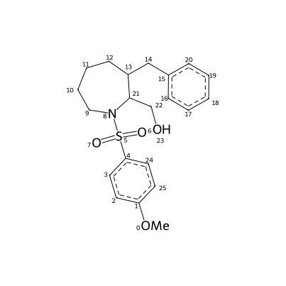 COc1ccc(S(=O)(=O)N2CCCCC(Cc3ccccc3)C2CO)cc1